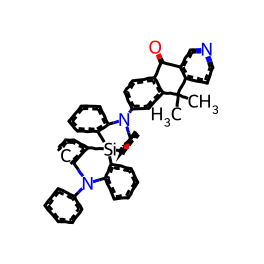 CC1(C)c2ccncc2C(=O)c2ccc(N3c4ccccc4[Si]4(c5ccccc5N(c5ccccc5)c5ccccc54)c4ccccc43)cc21